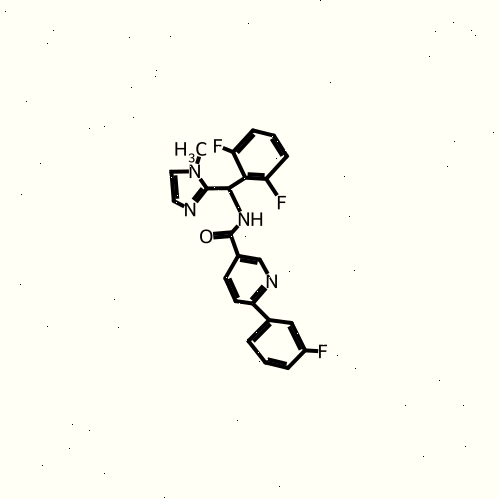 Cn1ccnc1C(NC(=O)c1ccc(-c2cccc(F)c2)nc1)c1c(F)cccc1F